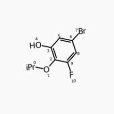 CC(C)Oc1c(O)cc(Br)cc1F